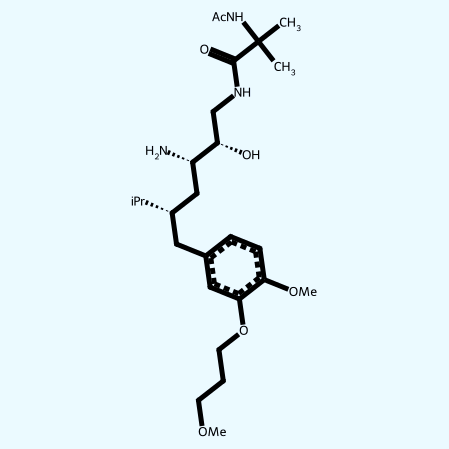 COCCCOc1cc(C[C@@H](C[C@H](N)[C@@H](O)CNC(=O)C(C)(C)NC(C)=O)C(C)C)ccc1OC